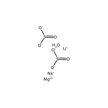 O.O=[Si]([O-])[O-].O=[Si]([O-])[O-].[Li+].[Mg+2].[Na+]